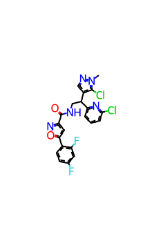 Cn1ncc(C(CNC(=O)c2cc(-c3ccc(F)cc3F)on2)c2cccc(Cl)n2)c1Cl